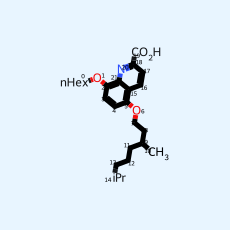 CCCCCCOc1ccc(OCCC(C)CCCC(C)C)c2ccc(C(=O)O)nc12